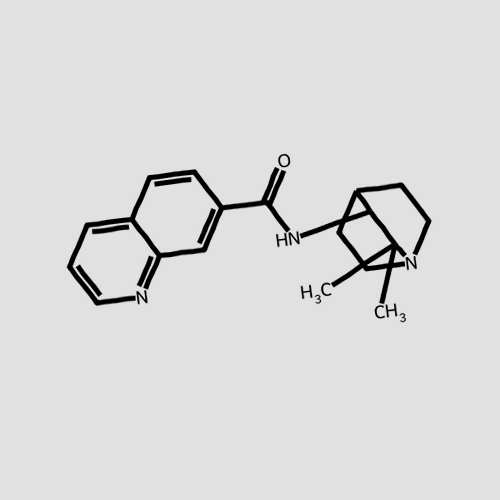 CC1(C)C(NC(=O)c2ccc3cccnc3c2)C2CCN1CC2